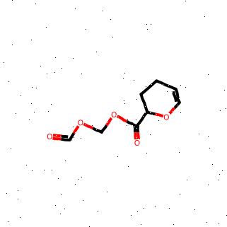 O=[C]OCOC(=O)C1CCC=CO1